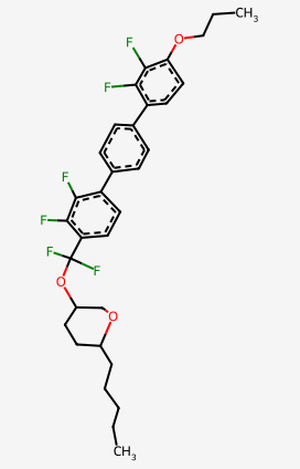 CCCCCC1CCC(OC(F)(F)c2ccc(-c3ccc(-c4ccc(OCCC)c(F)c4F)cc3)c(F)c2F)CO1